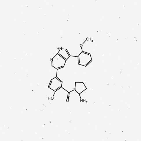 COc1ccccc1-c1c[nH]c2ncc(-c3ccc(O)c(C(=O)N4CCCC4N)c3)cc12